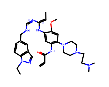 C=CC(=O)Nc1cc(NC(=C/C)/N=C\NCc2ccc3c(cnn3CC)c2)c(OC)cc1N1CCN(CCN(C)C)CC1